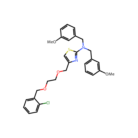 COc1cccc(CN(Cc2cccc(OC)c2)c2nc(COCCOCc3ccccc3Cl)cs2)c1